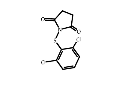 O=C1CCC(=O)N1Sc1c(Cl)cccc1Cl